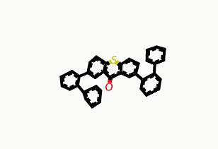 O=c1c2cc(-c3ccccc3-c3ccccc3)ccc2sc2ccc(-c3ccccc3-c3ccccc3)cc12